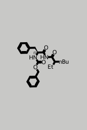 CCCCC(CC)C(=O)NC(=O)[C@H](Cc1ccccc1)NC(=O)OCc1ccccc1